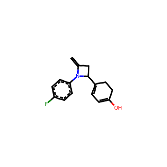 C=C1CC(C2=CC=C(O)CC2)N1c1ccc(F)cc1